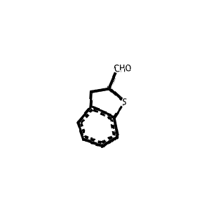 O=CC1Cc2ccccc2S1